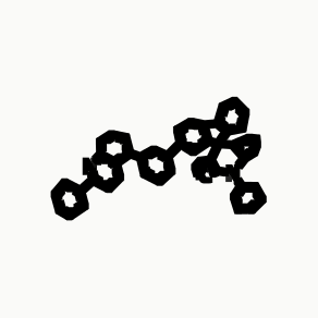 c1ccc(-c2ccc3c(-c4cccc(-c5ccc6c(c5)C5(c7ccccc7-6)c6ccccc6N(c6ccccc6)c6ccccc65)c4)cccc3n2)cc1